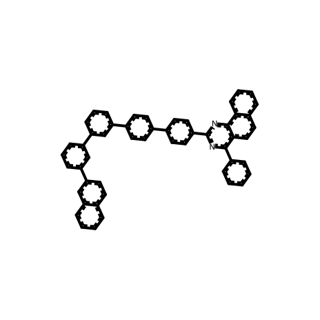 c1ccc(-c2nc(-c3ccc(-c4ccc(-c5cccc(-c6cccc(-c7ccc8ccccc8c7)c6)c5)cc4)cc3)nc3c2ccc2ccccc23)cc1